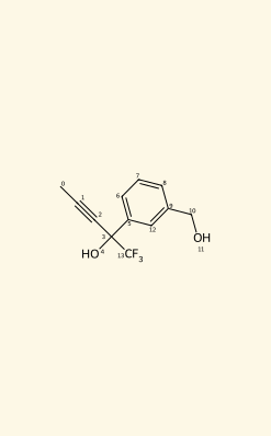 CC#CC(O)(c1cccc(CO)c1)C(F)(F)F